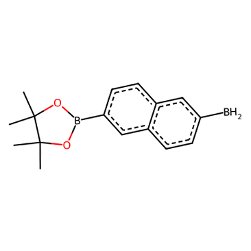 Bc1ccc2cc(B3OC(C)(C)C(C)(C)O3)ccc2c1